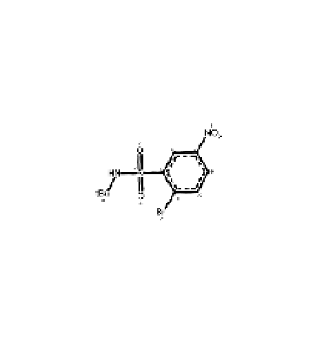 CC(C)(C)NS(=O)(=O)c1cc([N+](=O)[O-])ccc1Br